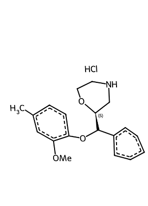 COc1cc(C)ccc1OC(c1ccccc1)[C@@H]1CNCCO1.Cl